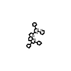 c1ccc(-c2cc(-c3ccc4ccc5c(-c6ccccc6)cc(-c6ccccc6)nc5c4n3)nc(-c3ccccn3)n2)cc1